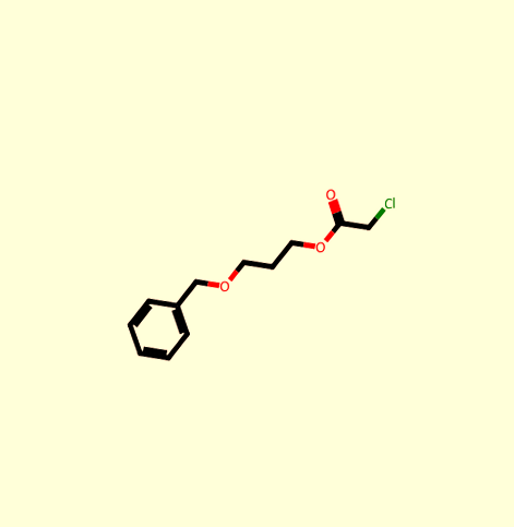 O=C(CCl)OCCCOCc1ccccc1